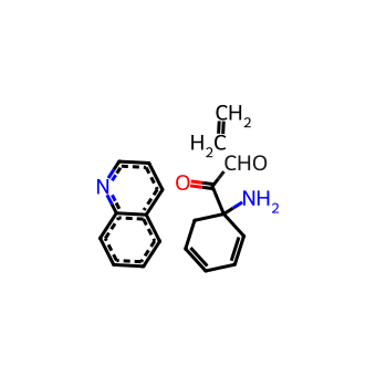 C=C.NC1(C(=O)C=O)C=CC=CC1.c1ccc2ncccc2c1